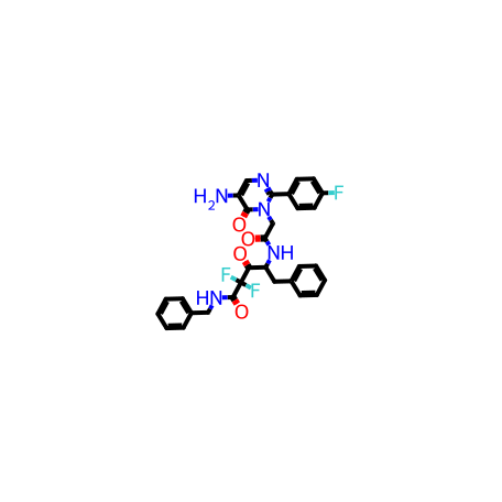 Nc1cnc(-c2ccc(F)cc2)n(CC(=O)NC(Cc2ccccc2)C(=O)C(F)(F)C(=O)NCc2ccccc2)c1=O